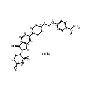 CC(N)c1ccc(OCCN2CCN(c3ccc4c(c3)CN(C3CCC(=O)NC3=O)C4=O)CC2)cc1.Cl